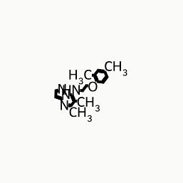 Cc1ccc(OCCNc2c(C)c(C)nc3ccnn23)c(C)c1